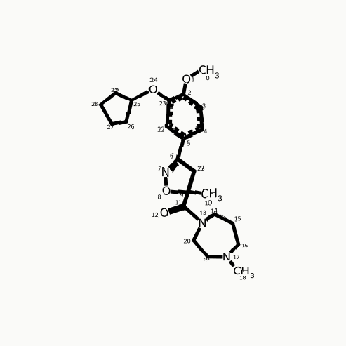 COc1ccc(C2=NOC(C)(C(=O)N3CCCN(C)CC3)C2)cc1OC1CCCC1